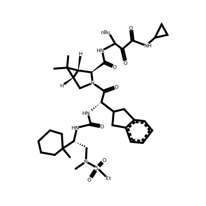 CCCCC(NC(=O)[C@@H]1[C@@H]2[C@H](CN1C(=O)[C@@H](NC(=O)N[C@H](CN(C)S(=O)(=O)CC)C1(C)CCCCC1)C1Cc3ccccc3C1)C2(C)C)C(=O)C(=O)NC1CC1